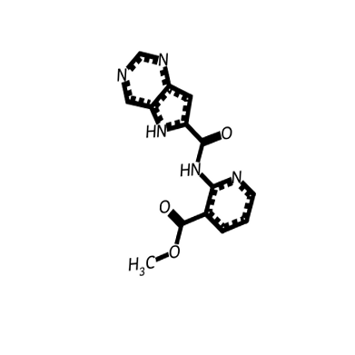 COC(=O)c1cccnc1NC(=O)c1cc2ncncc2[nH]1